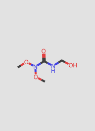 CON(OC)C(=O)NCO